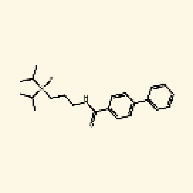 CC(C)[Si](F)(CCCNC(=O)c1ccc(-c2ccccc2)cc1)C(C)C